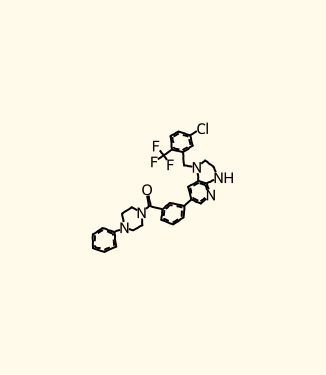 O=C(c1cccc(-c2cnc3c(c2)N(Cc2cc(Cl)ccc2C(F)(F)F)CCN3)c1)N1CCN(c2ccccc2)CC1